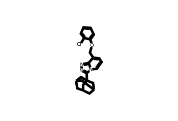 Clc1ccccc1OCc1cccn2c(C34CC5CC(CC(C5)C3)C4)nnc12